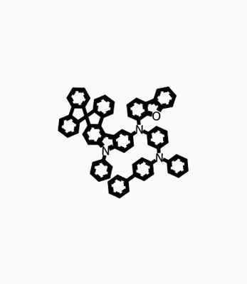 c1ccc(-c2ccc(N(c3ccccc3)c3cccc(N(c4ccc5c(c4)c4c6c(ccc4n5-c4ccccc4)C4(c5ccccc5-c5ccccc54)c4ccccc4-6)c4cccc5c4oc4ccccc45)c3)cc2)cc1